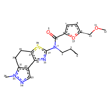 CCCN(C(=O)c1ccc(COC)o1)c1nc2c(s1)CCc1c-2cnn1C